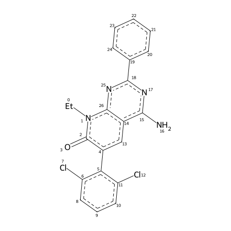 CCn1c(=O)c(-c2c(Cl)cccc2Cl)cc2c(N)nc(-c3ccccc3)nc21